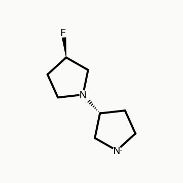 F[C@@H]1CCN([C@@H]2CC[N]C2)C1